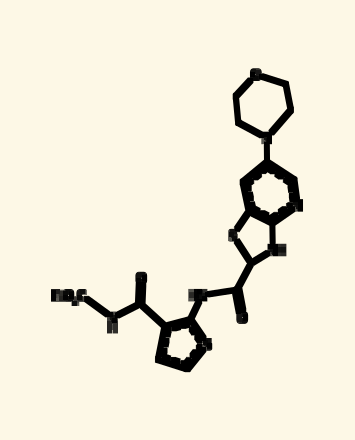 CCOC(=O)NC(=O)c1ccsc1NC(=O)C1Nc2ncc(N3CCOCC3)cc2S1